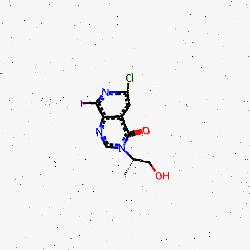 C[C@@H](CO)n1cnc2c(I)nc(Cl)cc2c1=O